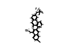 Cc1ccc2c(CC(C)(C)C)c3c(cc2c1)-c1nccc2c1c(cc1ccc(CC(C)(C)C(F)(F)F)cc12)O3